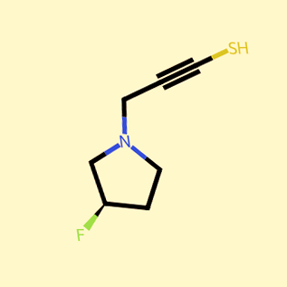 F[C@@H]1CCN(CC#CS)C1